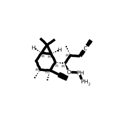 C#C[C@]1(C)[C@@H]([C@H](OPP)[C@H](C)C=C=C)[C@H]2[C@@H](C[C@H]1C)C2(C)C